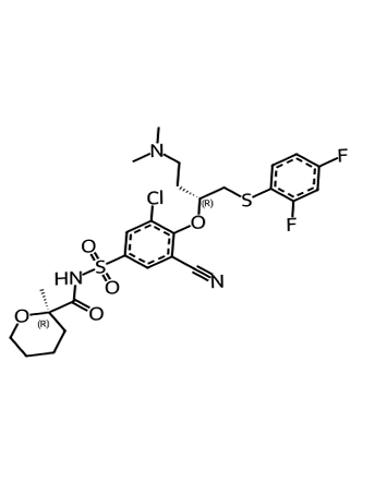 CN(C)CC[C@H](CSc1ccc(F)cc1F)Oc1c(Cl)cc(S(=O)(=O)NC(=O)[C@@]2(C)CCCCO2)cc1C#N